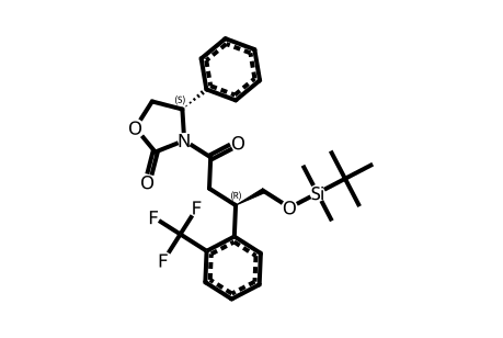 CC(C)(C)[Si](C)(C)OC[C@H](CC(=O)N1C(=O)OC[C@@H]1c1ccccc1)c1ccccc1C(F)(F)F